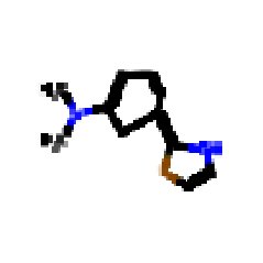 CN(C)C1=CC=CC(=C2NC=CS2)C1